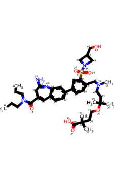 CCCN(CCC)C(=O)C1=Cc2ccc(-c3ccc(CN(C)CCC(C)(C)OCCC(C)(C)C(=O)O)c(S(=O)(=O)N4CC(CO)C4)c3)cc2N=C(N)C1